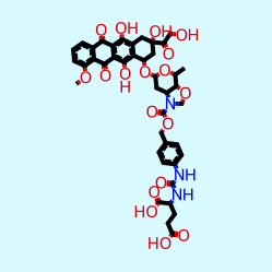 COc1cccc2c1C(=O)c1c(O)c3c(c(O)c1C2=O)CC(O)(C(=O)CO)CC3OC1CC2C(OCN2C(=O)OCc2ccc(NC(=O)NC(CCC(=O)O)C(=O)O)cc2)C(C)O1